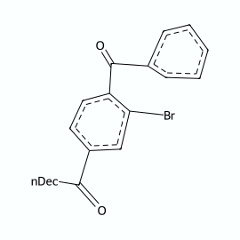 CCCCCCCCCCC(=O)c1ccc(C(=O)c2ccccc2)c(Br)c1